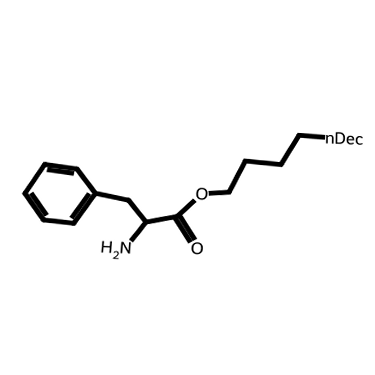 CCCCCCCCCCCCCCOC(=O)C(N)Cc1ccccc1